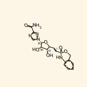 NC(=O)c1ncn([C@@H]2OC(/C=C/P3(=O)Nc4ccccc4CO3)[C@@H](O)[C@H]2O)n1